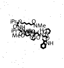 CC[C@H](C)[C@@H]([C@@H](CC(=O)N1CCC[C@H]1[C@H](OC)[C@@H](C)C(=O)N[C@@H](Cc1c[nH]c2ccccc12)C(=O)N1CCCCO1)OC)N(C)C(=O)[C@@H](NC(=O)[C@H](C(C)C)N(C)CCCCCC(=O)NC)C(C)C